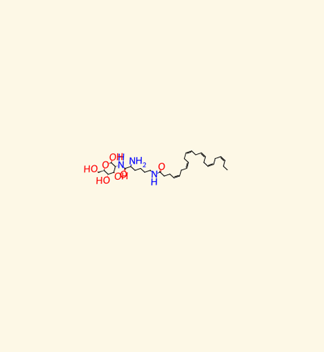 CC/C=C\C/C=C\C/C=C\C/C=C\C/C=C\C/C=C\CCC(=O)NCCCC[C@H](N)C(=O)N[C@@H]1[C@@H](O)[C@H](O)[C@@H](CO)O[C@H]1O